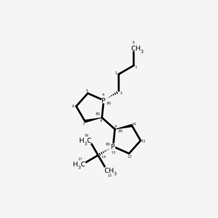 CCCC[P@@]1CCC[C@@H]1[C@H]1CCC[P@]1C(C)(C)C